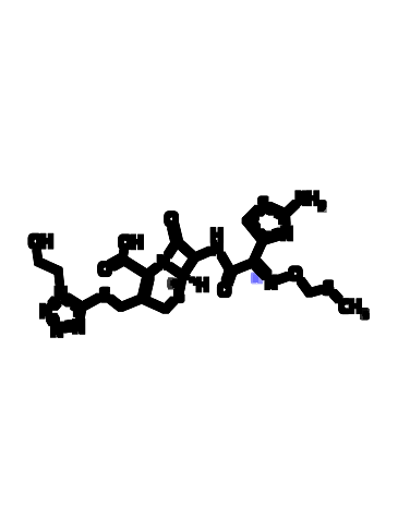 CSCO/N=C(/C(=O)NC1C(=O)N2C(C(=O)O)=C(CSc3nnnn3CCO)CS[C@H]12)c1csc(N)n1